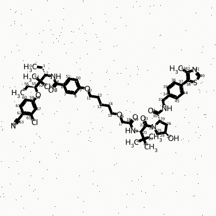 CC[C@H](NC(=O)c1ccc(OCCCCCOCC(=O)N[C@H](C(=O)N2C[C@H](O)C[C@H]2C(=O)NCc2ccc(-c3scnc3C)cc2)C(C)(C)C)cc1)C(C)(C)[C@H](CC)Oc1ccc(C#N)c(Cl)c1